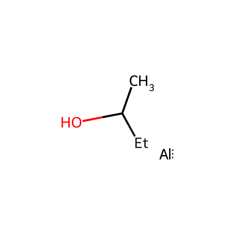 CCC(C)O.[Al]